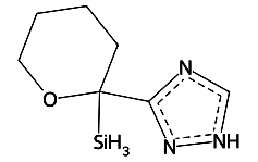 [SiH3]C1(c2nc[nH]n2)CCCCO1